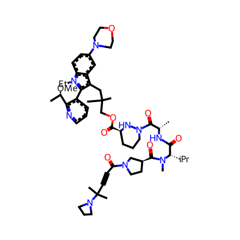 CCn1c(-c2cccnc2[C@H](C)OC)c(CC(C)(C)COC(=O)[C@@H]2CCCN(C(=O)[C@H](C)NC(=O)[C@H](C(C)C)N(C)C(=O)[C@H]3CCN(C(=O)C#CC(C)(C)N4CCC4)C3)N2)c2cc(N3CCOCC3)ccc21